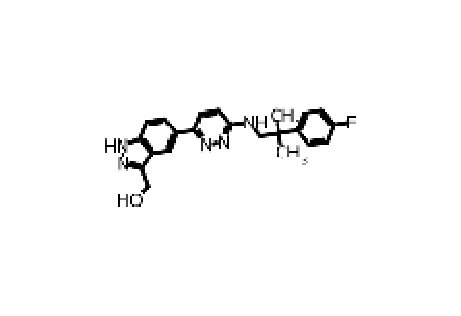 CC(C)(CNc1ccc(-c2ccc3[nH]nc(CO)c3c2)nn1)c1ccc(F)cc1